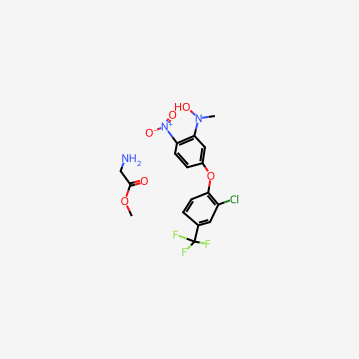 CN(O)c1cc(Oc2ccc(C(F)(F)F)cc2Cl)ccc1[N+](=O)[O-].COC(=O)CN